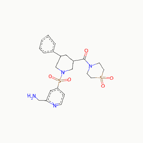 NCc1cc(S(=O)(=O)N2CC(C(=O)N3CCS(=O)(=O)CC3)CC(c3ccccc3)C2)ccn1